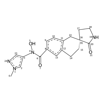 Cn1cc(N(O)C(=O)c2ccc3c(c2)CC[C@@]2(CCNC2=O)C3)cn1